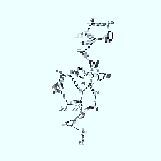 CCOc1ccc(S(=O)(=O)/N=C/c2ccco2)c2ccccc12